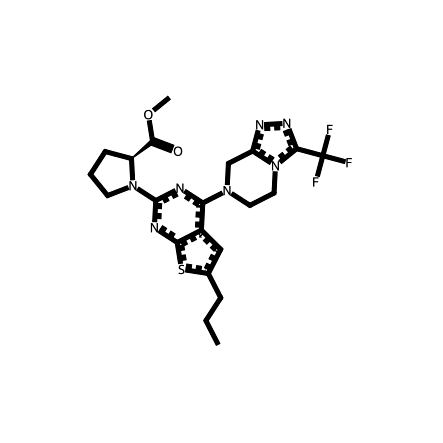 CCCc1cc2c(N3CCn4c(nnc4C(F)(F)F)C3)nc(N3CCC[C@H]3C(=O)OC)nc2s1